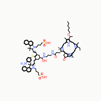 CCCCCCOC(C)c1c(C)c2cc3nc(c4c5[nH]c(cc6nc(cc1[nH]2)C(C)=C6CC)c(C)c5C(=O)C4)[C@@H](CCC(=O)NCCCNC(O)C1CC(/C=C/C2=[N+](CCCCS(=O)(=O)O)c4ccc5ccccc5c4C2(C)C)=C(Sc2ccc(N)cc2)C(=C/C=C2/N(CCCCS(=O)(=O)O)c4ccc5ccccc5c4C2(C)C)/C1)[C@H]3C